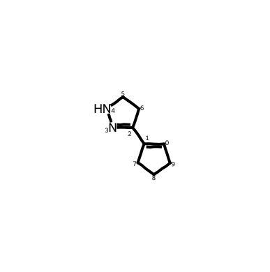 C1=C(C2=NNCC2)CCC1